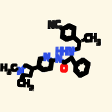 C=C1CC(c2ccc(NC(=O)[C@@H](NC[C@@H](C)c3ccc(C#N)cc3)c3ccccc3)nc2)CN1C